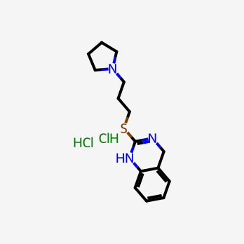 Cl.Cl.c1ccc2c(c1)CN=C(SCCCN1CCCC1)N2